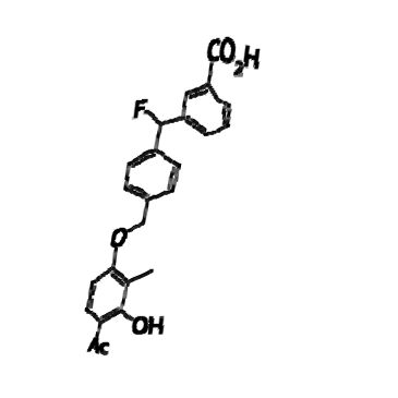 CC(=O)c1ccc(OCc2ccc(C(F)c3cccc(C(=O)O)c3)cc2)c(C)c1O